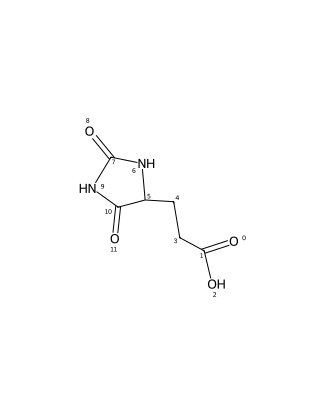 O=C(O)CCC1NC(=O)NC1=O